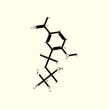 [CH2]C(O)(CC(C)(C)c1cc(C(C)=O)ccc1OC)C(F)(F)F